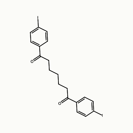 O=C(CCCCCC(=O)c1ccc(I)cc1)c1ccc(I)cc1